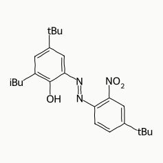 CCC(C)c1cc(C(C)(C)C)cc(N=Nc2ccc(C(C)(C)C)cc2[N+](=O)[O-])c1O